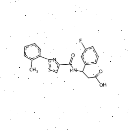 Cc1ccccc1-c1nc(C(=O)NC(CC(=O)O)c2cccc(F)c2)cs1